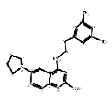 COc1nc(NCCc2cc(N)cc(C(F)(F)F)c2)c2cc(N3CCCC3)ncc2n1